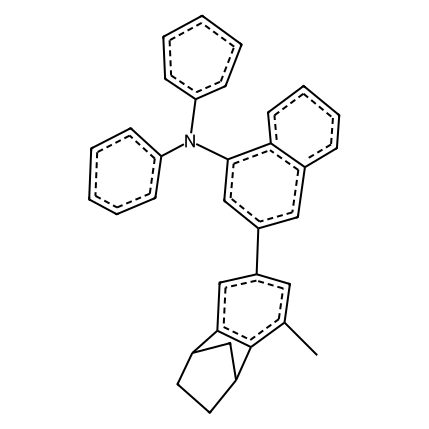 Cc1cc(-c2cc(N(c3ccccc3)c3ccccc3)c3ccccc3c2)cc2c1C1CCC2C1